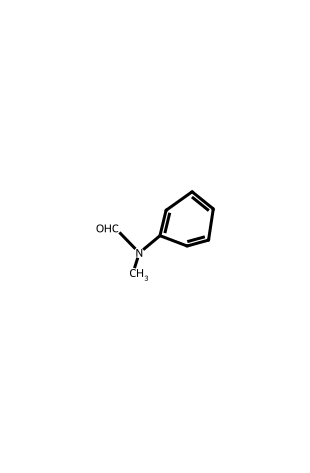 CN(C=O)c1ccccc1